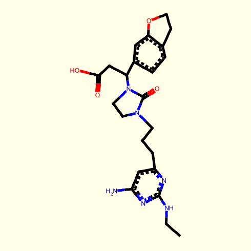 CCNc1nc(N)cc(CCCN2CCN(C(CC(=O)O)c3ccc4c(c3)OCC4)C2=O)n1